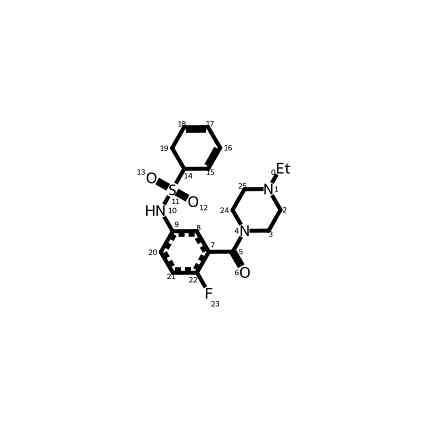 CCN1CCN(C(=O)c2cc(NS(=O)(=O)C3C=CC=CC3)ccc2F)CC1